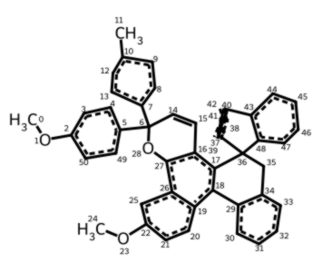 COc1ccc(C2(c3ccc(C)cc3)C=Cc3c4c(c5ccc(OC)cc5c3O2)-c2ccccc2CC42c3ccccc3-c3ccccc32)cc1